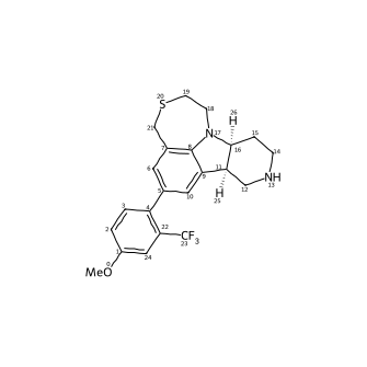 COc1ccc(-c2cc3c4c(c2)[C@@H]2CNCC[C@@H]2N4CCSC3)c(C(F)(F)F)c1